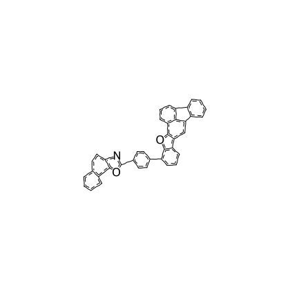 c1ccc2c(c1)-c1cccc3c1c-2cc1c2cccc(-c4ccc(-c5nc6ccc7ccccc7c6o5)cc4)c2oc31